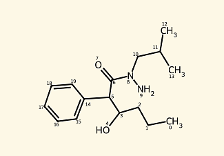 CCCC(O)C(C(=O)N(N)CC(C)C)c1ccccc1